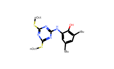 CCCCCCCCSc1nc(Nc2cc(C(C)(C)C)cc(C(C)(C)C)c2O)nc(SCCCCCCCC)n1